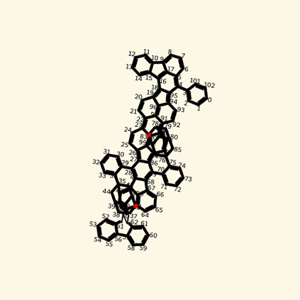 c1ccc(-c2c3cccc4c5ccccc5c(c34)c3c4ccc5c6ccc7c8c(-c9ccccc9C9%10CC%11CC(CC(C%11)C9)C%10)c9c%10ccc(-n%11c%12ccccc%12c%12ccccc%12%11)c%11cccc(c9c(-c9ccccc9C9%12CC%13CC(CC(C%13)C9)C%12)c8c8ccc(c9ccc(c23)c4c95)c6c87)c%11%10)cc1